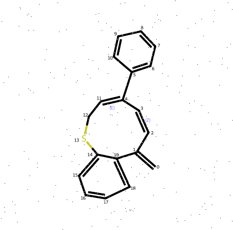 C=C1/C=C\C(c2ccccc2)=C/CSc2ccccc21